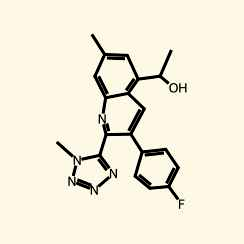 Cc1cc(C(C)O)c2cc(-c3ccc(F)cc3)c(-c3nnnn3C)nc2c1